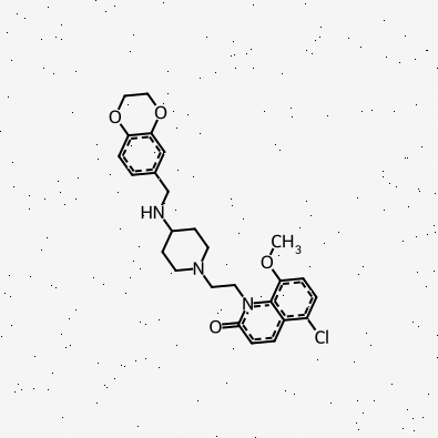 COc1ccc(Cl)c2ccc(=O)n(CCN3CCC(NCc4ccc5c(c4)OCCO5)CC3)c12